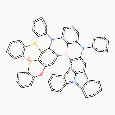 O=P12c3ccccc3Oc3cc4c(c(c31)Sc1ccccc12)N(c1ccccc1)c1cccc2c1B4c1c(cc3c4ccccc4n4c5ccccc5c1c34)N2c1ccccc1